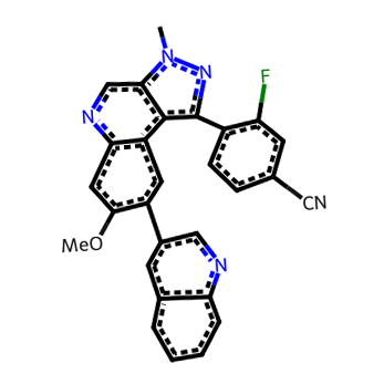 COc1cc2ncc3c(c(-c4ccc(C#N)cc4F)nn3C)c2cc1-c1cnc2ccccc2c1